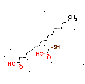 CCCCCCCCCCCCCCCC(=O)O.O=C(O)CS